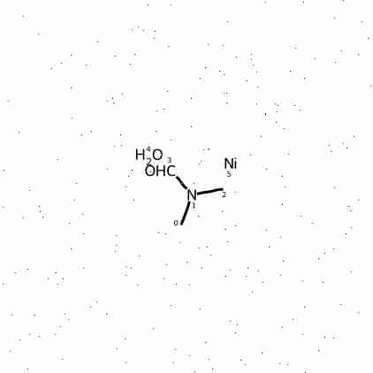 CN(C)C=O.O.[Ni]